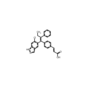 CCC(=C(c1ccc(C=CC(=O)O)cc1)c1cc2cn[nH]c2cc1Cl)c1ccccc1